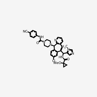 COC1(C(=O)NC(C2=Cc3cccnc3C(N3CCN(C(=O)Nc4ccc(C#N)cc4)CC3)c3ccc(Cl)cc32)c2cncn2C)CC1